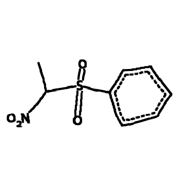 CC([N+](=O)[O-])S(=O)(=O)c1ccccc1